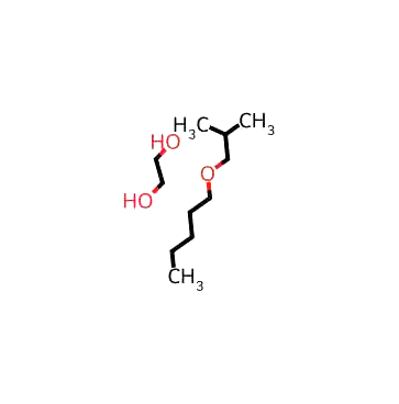 CCCCCOCC(C)C.OCCO